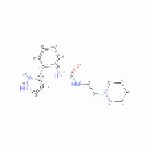 O=C(NCCN1CCCCC1)Nc1ccccc1-c1cc[nH]n1